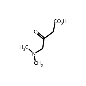 CN(C)CC(=O)CC(=O)O